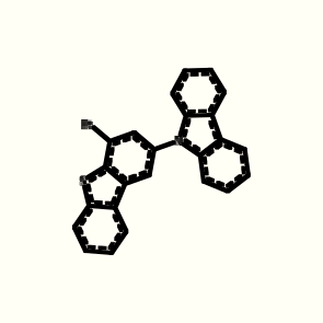 CCc1cc(-n2c3ccccc3c3ccccc32)cc2c1sc1ccccc12